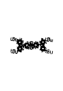 CC(C)(C)c1ccc2c(c1)c1cc(C(C)(C)C)ccc1n2-c1ccc(S(=O)(=O)c2ccc(-n3c4ccc(C(C)(C)C)cc4c4cc(C(C)(C)C)ccc43)cn2)nc1